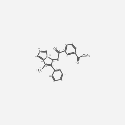 COC(=O)c1cccc(C(=O)CC2C(c3ccccc3)=C(C)c3cncn32)c1